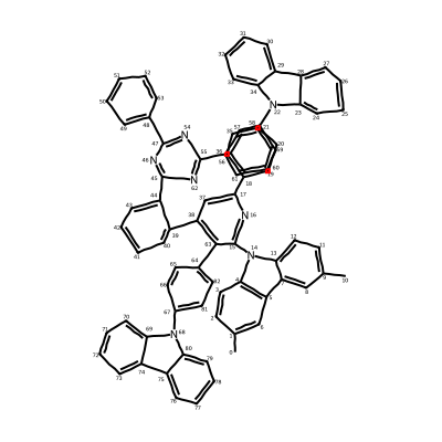 Cc1ccc2c(c1)c1cc(C)ccc1n2-c1nc(-c2ccc(-n3c4ccccc4c4ccccc43)cc2)cc(-c2ccccc2-c2nc(-c3ccccc3)nc(-c3ccccc3)n2)c1-c1ccc(-n2c3ccccc3c3ccccc32)cc1